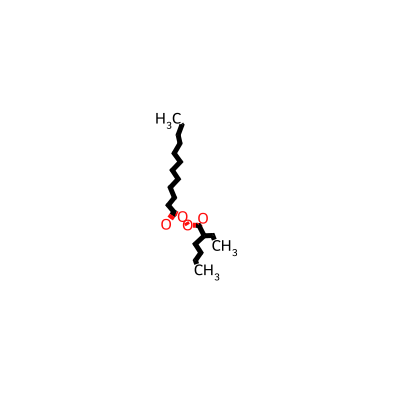 CCCCCCCCCCCC(=O)OOC(=O)C(CC)CCCC